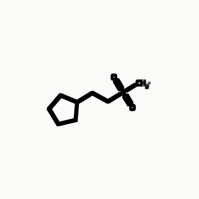 [CH2]S(=O)(=O)CCC1CCCC1